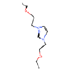 CCOCCn1cc[n+](CCOCC)c1